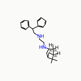 C[C@@H]1[C@H]2CC(C[C@H]1NCCNCC(c1ccccc1)c1ccccc1)C2(C)C